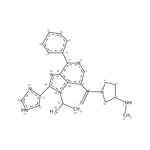 CNC1CCN(C(=O)c2cnc(-c3ccccc3)c3nc(-c4c[nH]cn4)n(C(C)C)c23)C1